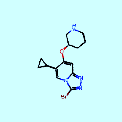 Brc1nnc2cc(O[C@@H]3CCCNC3)c(C3CC3)cn12